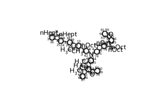 CCCCCCCCC1(CCCCCCCC)c2cc(N(c3ccc(-c4ccc5c(c4)C(C)(C)c4cc(-c6ccc7c(c6)C(CCCCCCC)(CCCCCCC)c6ccccc6-7)ccc4-5)cc3)c3ccc4c(c3)C(C)(C)c3c5c(c6oc7ccccc7c6c3-4)-c3ccccc3C5(C)C)ccc2-c2cc3c(cc21)-c1c(ccc2oc4ccccc4c12)C3(CCCCCCCC)CCCCCCCC